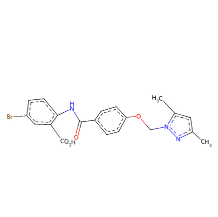 Cc1cc(C)n(COc2ccc(C(=O)Nc3ccc(Br)cc3C(=O)O)cc2)n1